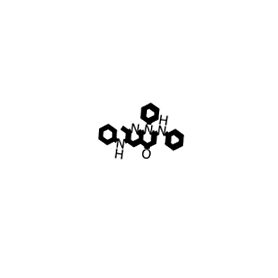 Cc1nc2c(cc1NC1CCCCC1)c(=O)cc(Nc1ccccc1)n2-c1ccccc1